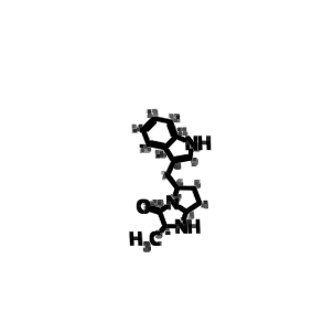 CC1NC2CCC(Cc3c[nH]c4ccccc34)N2C1=O